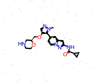 Cn1ncc(OC[C@@H]2CNCCO2)c1-c1ccn2nc(NC(=O)C3CC3)cc2c1